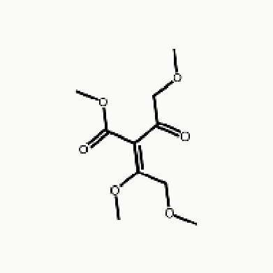 COCC(=O)/C(C(=O)OC)=C(\COC)OC